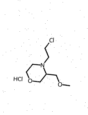 COCC1COCCN1CCCl.Cl